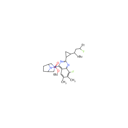 CCCCC(CC(F)CC)C1CC1c1nc(N2CC3CCC(C2)N3C(=O)OC(C)(C)C)c2cc(C)c(C)c(F)c2n1